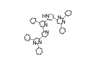 C1=C(c2cc(-c3ccccc3)nc(-c3ccccc3)n2)C=C(c2cc(-c3ccccc3)cc(-c3cc(-c4cc(-c5ccccc5)nc(-c5ccccc5)n4)ccn3)n2)NC1